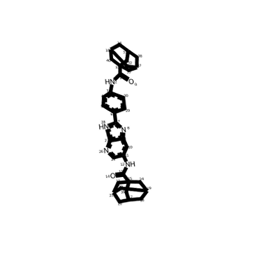 O=C(Nc1ccc(-c2nc3cc(NC(=O)C45CC6CC(CC(C6)C4)C5)cnc3[nH]2)cc1)C12CC3CC(CC(C3)C1)C2